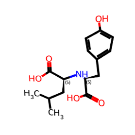 CC(C)C[C@H](N[C@@H](Cc1ccc(O)cc1)C(=O)O)C(=O)O